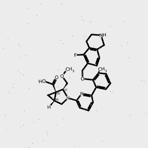 COC[C@H]1N(c2cccc(-c3cccc(C)c3OCc3ccc4c(c3F)CCNC4)n2)C[C@@H]2C[C@@]21C(=O)O